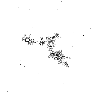 CC[C@H](C)[C@@H]([C@@H](CC(=O)N1CCC[C@H]1[C@H](OC)[C@@H](C)C(=O)N[C@@H](Cc1ccccc1)C(=O)NCc1ccc(NC(=O)[C@H](CCCNC(N)=O)NC(=O)[C@@H](NC(=O)CCC(=O)NC2(C#N)CCC(C(=O)Oc3c(F)c(F)c(F)c(F)c3F)CC2)C(C)C)cc1)OC)N(C)C(=O)[C@@H](NC(=O)[C@H](C(C)C)N(C)C)C(C)C